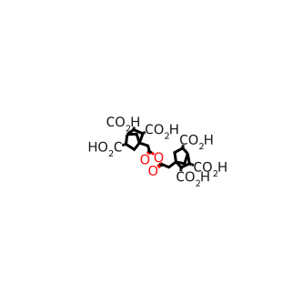 O=C(CC12CC(C(=O)O)C(C1)C(C(=O)O)C2C(=O)O)OC(=O)CC12CC(C(=O)O)C(C1)C(C(=O)O)C2C(=O)O